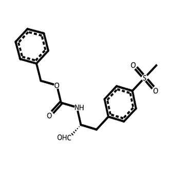 CS(=O)(=O)c1ccc(C[C@H](C=O)NC(=O)OCc2ccccc2)cc1